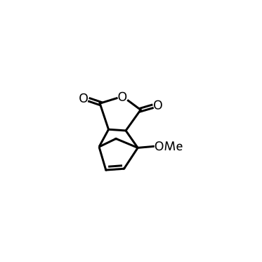 COC12C=CC(C1)C1C(=O)OC(=O)C12